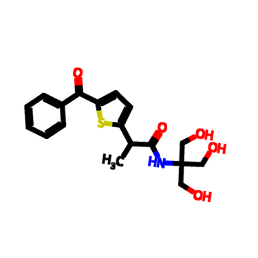 CC(C(=O)NC(CO)(CO)CO)c1ccc(C(=O)c2ccccc2)s1